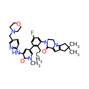 CCc1c(-c2cc(Nc3ccc(CN4CCOCC4)cn3)c(=O)n(C)c2)cc(F)cc1N1CCn2c(cc3c2CC(C)(C)C3)C1=O